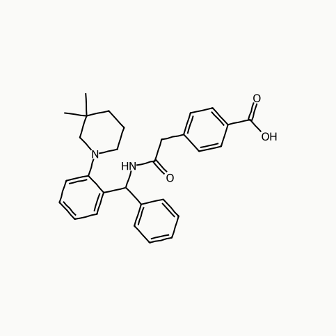 CC1(C)CCCN(c2ccccc2C(NC(=O)Cc2ccc(C(=O)O)cc2)c2ccccc2)C1